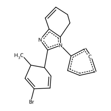 CC1C=C(Br)C=CC1c1nc2c(n1-c1ccccc1)CCC=C2